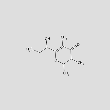 CCC(O)C1=C(C)C(=O)C(C)C(C)O1